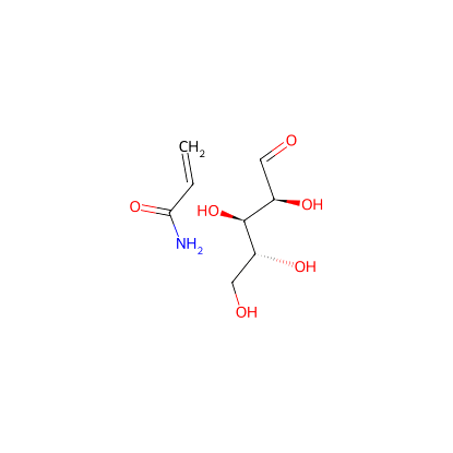 C=CC(N)=O.O=C[C@@H](O)[C@H](O)[C@H](O)CO